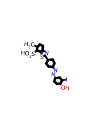 Cc1ccc2nc(-c3ccc(N=Nc4ccc(O)c(I)c4)cc3)sc2c1S(=O)(=O)O